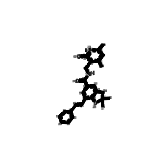 Cc1cc(C)c(CNC(=O)c2cc(C=Cc3ccccc3)c3c(c2)CC(C)(C)O3)c(=O)[nH]1